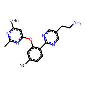 Cc1nc(OCC(C)C)cc(Oc2cc(C#N)ccc2-c2ncc(CCN)cn2)n1